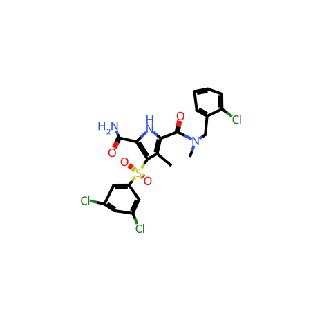 Cc1c(C(=O)N(C)Cc2ccccc2Cl)[nH]c(C(N)=O)c1S(=O)(=O)c1cc(Cl)cc(Cl)c1